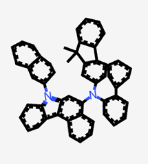 CC1(C)c2ccccc2-c2ccc(N(c3ccccc3-c3ccccc3)c3cc4c(c5ccccc35)c3ccccc3n4-c3ccc4ccccc4c3)cc21